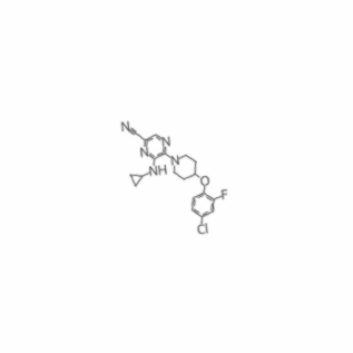 N#Cc1cnc(N2CCC(Oc3ccc(Cl)cc3F)CC2)c(NC2CC2)n1